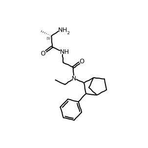 CCN(C(=O)CNC(=O)[C@H](C)N)C1C2CCC(C2)C1c1ccccc1